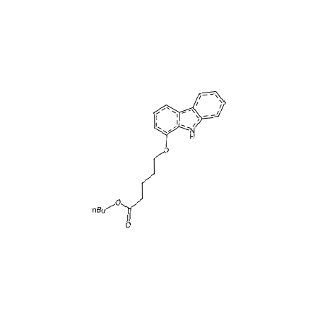 CCCCOC(=O)CCCCOc1cccc2c1[nH]c1ccccc12